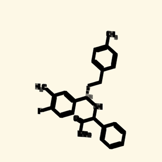 CNC(=O)C(N[C@@H](CCc1ccc(C)cc1)c1ccc(F)c(C)c1)c1ccccc1